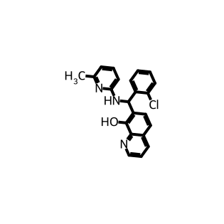 Cc1cccc(NC(c2ccccc2Cl)c2ccc3cccnc3c2O)n1